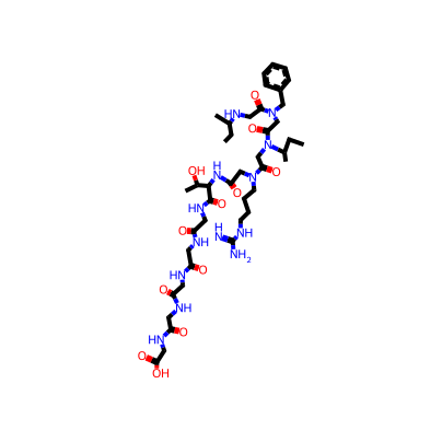 CCC(C)NCC(=O)N(CC(=O)N(CC(=O)N(CCCCNC(=N)N)CC(=O)NC(C(=O)NCC(=O)NCC(=O)NCC(=O)NCC(=O)NCC(=O)O)C(C)O)C(C)CC)Cc1ccccc1